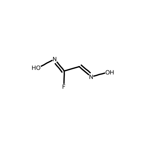 ON=CC(F)=NO